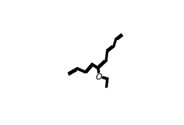 C=C/C=C/C=C(\C=C\C=C)OCC